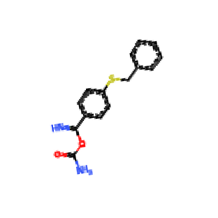 N=C(OC(N)=O)c1ccc(SCc2ccccc2)cc1